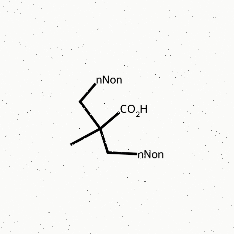 CCCCCCCCCCC(C)(CCCCCCCCCC)C(=O)O